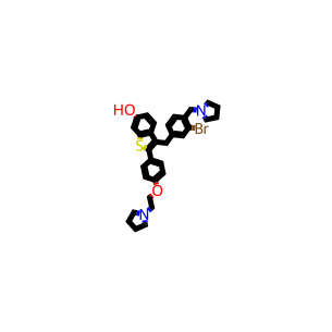 Oc1ccc2c(Cc3ccc(CN4CCCC4)c(Br)c3)c(-c3ccc(OCCN4CCCC4)cc3)sc2c1